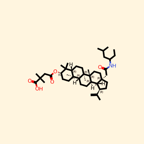 C=C(C)[C@@H]1CC[C@]2(CC(=O)NC(CC)CC(C)C)CC[C@]3(C)[C@H](CC[C@@H]4[C@@]5(C)CC[C@H](OC(=O)CC(C)(C)C(=O)O)C(C)(C)[C@@H]5CC[C@]43C)[C@@H]12